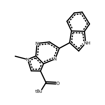 Cn1cc(C(=O)C(C)(C)C)c2nc(-c3c[nH]c4ccccc34)cnc21